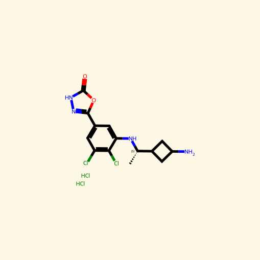 C[C@H](Nc1cc(-c2n[nH]c(=O)o2)cc(Cl)c1Cl)C1CC(N)C1.Cl.Cl